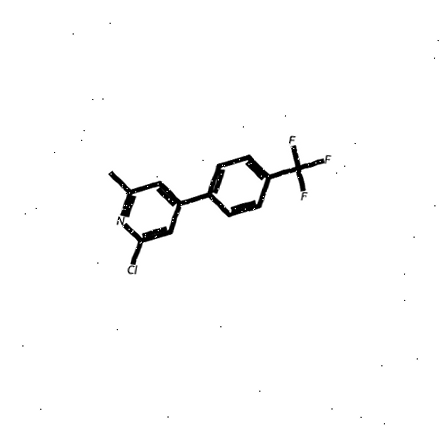 Cc1cc(-c2ccc(C(F)(F)F)cc2)cc(Cl)n1